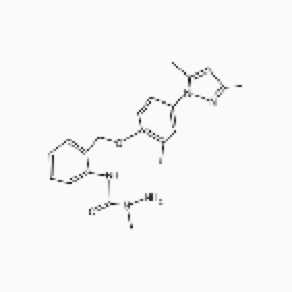 Cc1cc(C)n(-c2ccc(OCc3ccccc3NC(=O)N(C)N)c(C)c2)n1